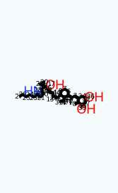 C=C1/C(=C\C=C2/CCC[C@]3(C)[C@@H]([C@H](C)/C=C/[C@@H](O)C4(c5ccc(CCCCC)[nH]5)CC4)CC[C@@H]23)C[C@@H](O)CC1O